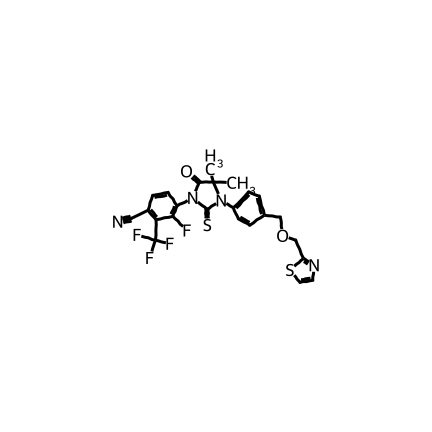 CC1(C)C(=O)N(c2ccc(C#N)c(C(F)(F)F)c2F)C(=S)N1c1ccc(COCc2nccs2)cc1